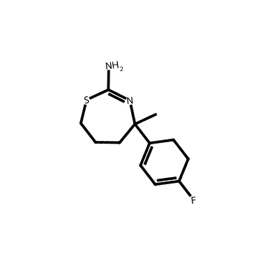 CC1(C2=CC=C(F)CC2)CCCSC(N)=N1